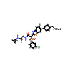 CC(=O)NCc1ccc(-c2cc3sc(C(C(=O)NCC(=O)NC4CC4)S(=O)(=O)c4cccc(Cl)c4)nc3cc2F)cc1